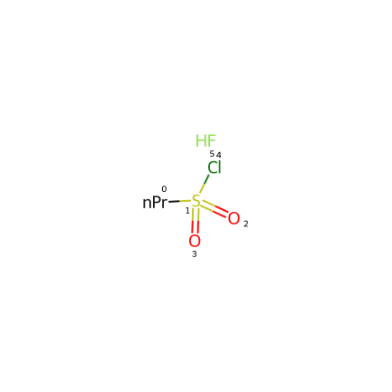 CCCS(=O)(=O)Cl.F